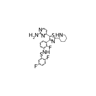 Nc1nccc(-c2sc(C3CCCCN3)nc2-c2cccc(NSc3cc(F)ccc3F)c2F)n1